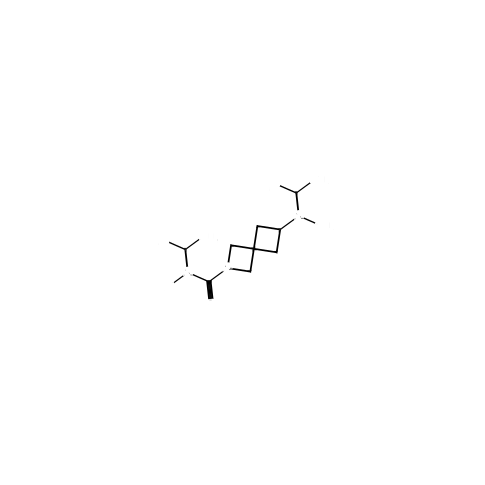 CC(C)N(C)C(=O)N1CC2(CC(N(C)C(C)C)C2)C1